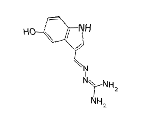 NC(N)=N/N=C/c1c[nH]c2ccc(O)cc12